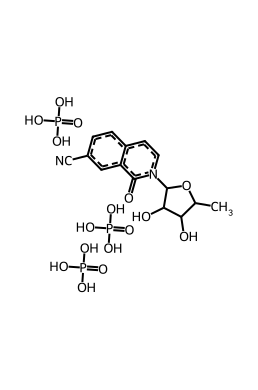 CC1OC(n2ccc3ccc(C#N)cc3c2=O)C(O)C1O.O=P(O)(O)O.O=P(O)(O)O.O=P(O)(O)O